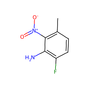 Cc1ccc(F)c(N)c1[N+](=O)[O-]